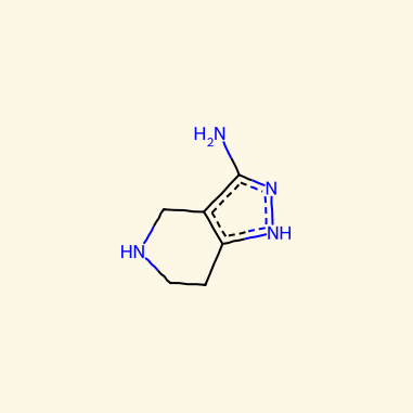 Nc1n[nH]c2c1CNCC2